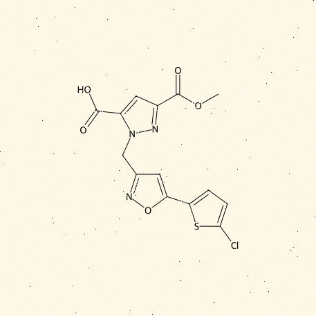 COC(=O)c1cc(C(=O)O)n(Cc2cc(-c3ccc(Cl)s3)on2)n1